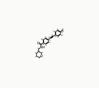 O=C(NCC1CCCOC1)c1ccc(C#Cc2ccc(F)cc2)cc1